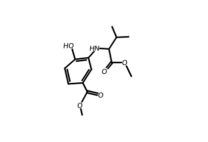 COC(=O)c1ccc(O)c(NC(C(=O)OC)C(C)C)c1